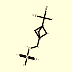 CS(=O)(=O)OCC12CC(C(F)(F)F)(C1)C2